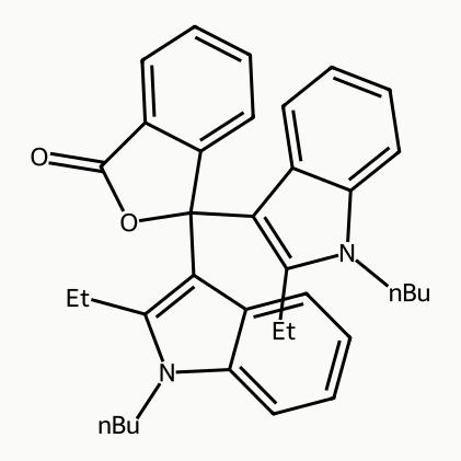 CCCCn1c(CC)c(C2(c3c(CC)n(CCCC)c4ccccc34)OC(=O)c3ccccc32)c2ccccc21